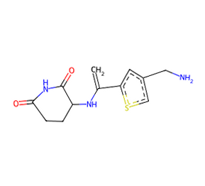 C=C(NC1CCC(=O)NC1=O)c1cc(CN)cs1